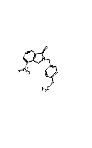 COc1ccc(CN2Cc3c(cccc3[N+](=O)[O-])C2=O)cc1